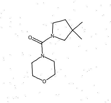 CC1(C)C[CH]N(C(=O)N2CCOCC2)C1